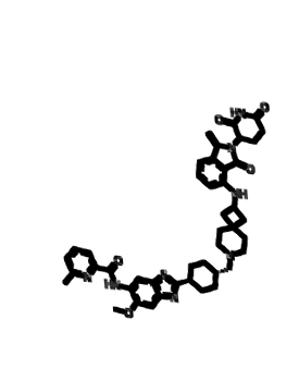 C=C1c2cccc(NC3CC4(CCN(C[C@H]5CC[C@H](c6nc7cc(OC)c(NC(=O)c8cccc(C)n8)cc7s6)CC5)CC4)C3)c2C(=O)N1C1CCC(=O)NC1=O